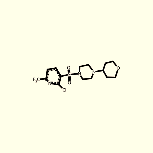 O=S(=O)(c1ccc(C(F)(F)F)nc1Cl)N1CCN(C2CCOCC2)CC1